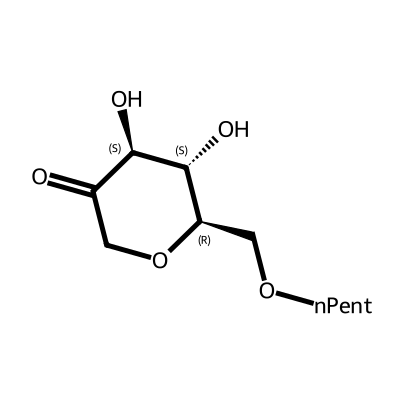 CCCCCOC[C@H]1OCC(=O)[C@@H](O)[C@@H]1O